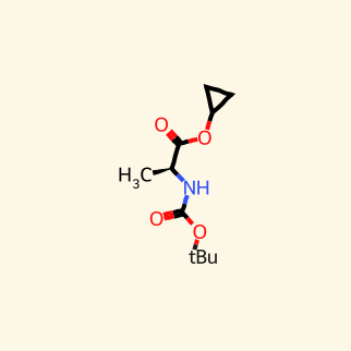 C[C@H](NC(=O)OC(C)(C)C)C(=O)OC1CC1